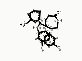 Cc1cccc([C@@H]2CC(=O)NC[C@H](c3cccc(Cl)c3)[C@@]23C(=O)Nc2cc(Cl)ccc23)c1